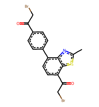 Cc1nc2c(-c3ccc(C(=O)CBr)cc3)ccc(C(=O)CBr)c2s1